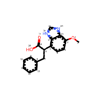 COc1ccc(C(Cc2ccccc2)C(=O)O)c2[nH]cnc12